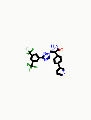 NC(=O)/C(=C/n1cnc(-c2cc(C(F)(F)F)cc(C(F)(F)F)c2)n1)c1ccc(-c2cccnc2)cc1